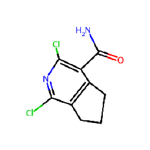 NC(=O)c1c(Cl)nc(Cl)c2c1CCC2